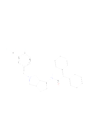 O=C(NC1CCC2CN(Cc3ccc(F)c(C(F)(F)F)c3)CC21)C(C1CCCCC1)C1CCCCC1